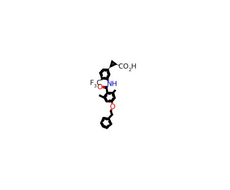 Cc1cc(OCCc2ccccc2)cc(C)c1C(=O)Nc1cc([C@@H]2C[C@@H]2C(=O)O)ccc1C(F)(F)F